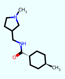 CN1CCC(CNC(=O)[C@H]2CC[C@H](C)CC2)C1